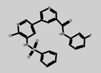 O=C(Nc1cccc(F)c1)c1cncc(-c2cnc(Cl)c(NS(=O)(=O)c3ccccc3)c2)c1